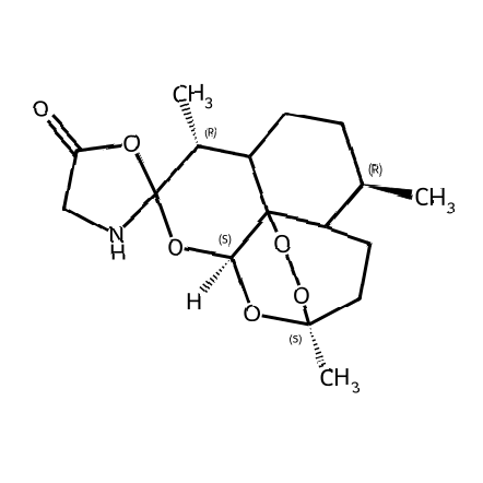 C[C@@H]1CCC2[C@@H](C)C3(NCC(=O)O3)O[C@@H]3O[C@]4(C)CCC1C23OO4